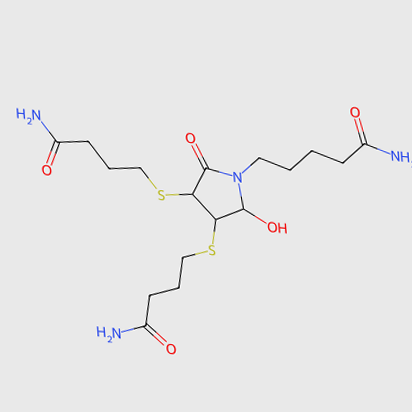 NC(=O)CCCCN1C(=O)C(SCCCC(N)=O)C(SCCCC(N)=O)C1O